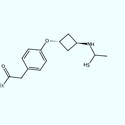 CCC(=O)Cc1ccc(O[C@H]2C[C@H](NC(C)S)C2)cc1